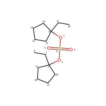 CCC1(OS(=O)(=O)OC2(CC)CCCC2)CCCC1